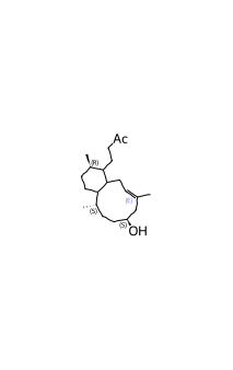 CC(=O)CCC1C2C/C=C(\C)C[C@@H](O)CC[C@H](C)C2CC[C@H]1C